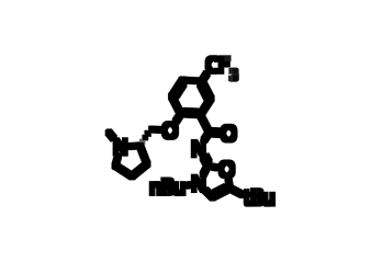 CCCCn1cc(C(C)(C)C)oc1=NC(=O)c1cc(C(F)(F)F)ccc1OC[C@@H]1CCCN1C